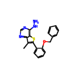 Cc1c(-c2ccccc2OCc2ccccc2)sc2c(NN)ncnc12